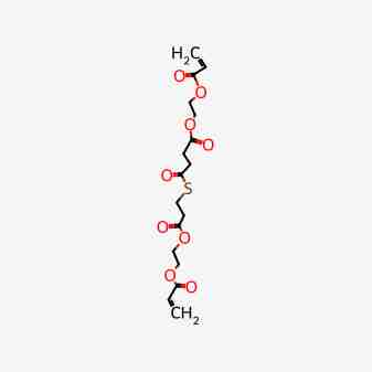 C=CC(=O)OCCOC(=O)CCSC(=O)CCC(=O)OCCOC(=O)C=C